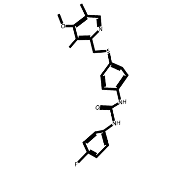 COc1c(C)cnc(CSc2ccc(NC(=O)Nc3ccc(F)cc3)cc2)c1C